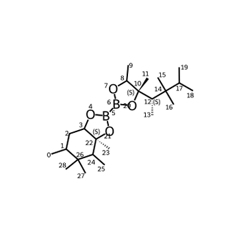 CC1CC2OB(B3OC(C)[C@](C)([C@@H](C)C(C)(C)C(C)C)O3)O[C@@]2(C)C(C)C1(C)C